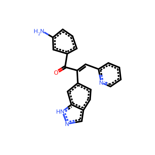 Nc1cccc(C(=O)C(=Cc2ccccn2)c2ccc3cn[nH]c3c2)c1